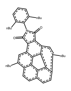 CCCCc1cccc(CCCC)c1-n1c(=O)c2c3cc(CCCC)c4ccc5ccc6c(CCCC)cc(c2c1=O)c1c6c5c4c31